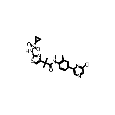 Cc1cc(-c2cncc(Cl)n2)ccc1NC(=O)C(C)(C)c1csc(NS(=O)(=O)C2CC2)n1